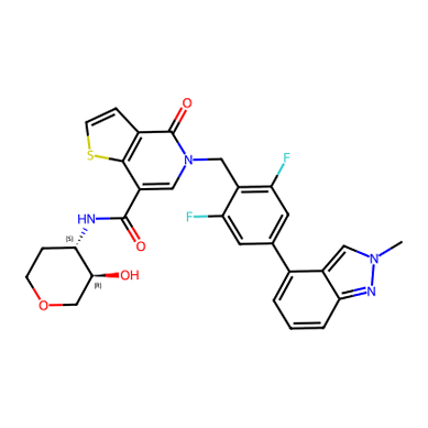 Cn1cc2c(-c3cc(F)c(Cn4cc(C(=O)N[C@H]5CCOC[C@@H]5O)c5sccc5c4=O)c(F)c3)cccc2n1